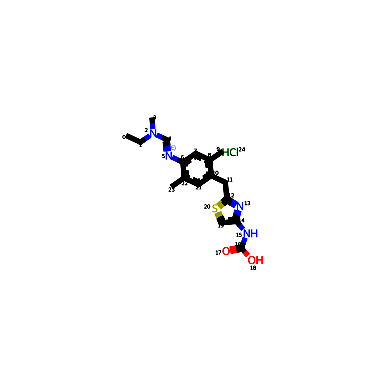 CCN(C)/C=N/c1cc(C)c(Cc2nc(NC(=O)O)cs2)cc1C.Cl